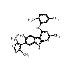 COc1cc2c(cc1-c1c(C)noc1C)[nH]c1nc(C)nc(Nc3cc(C)ccc3C)c12